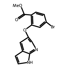 COC(=O)c1ccc(Br)cc1Oc1cnc2[nH]ccc2c1